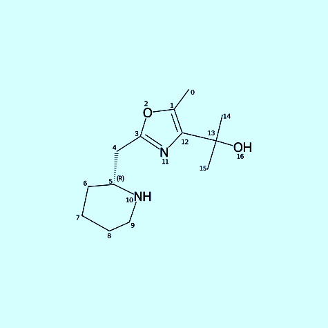 Cc1oc(C[C@H]2CCCCN2)nc1C(C)(C)O